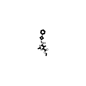 CCOC(=O)c1nc(C)nc(NC[C@H]2C[C@H](c3ccccc3)C2)c1C